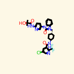 CC(C)(O)C(=O)Nc1ccc(-n2c(=O)n(C[C@H]3CC[C@H](NC(=O)c4cc(Cl)cnc4C(F)F)CC3)c3ccccc32)cn1